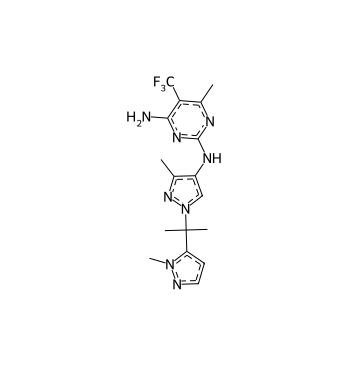 Cc1nn(C(C)(C)c2ccnn2C)cc1Nc1nc(C)c(C(F)(F)F)c(N)n1